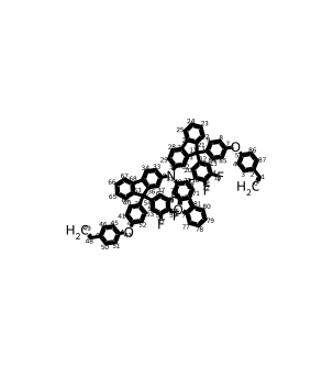 C=Cc1ccc(Oc2ccc(C3(c4cc(F)c(F)c(F)c4)c4ccccc4-c4ccc(N(c5ccc6c(c5)C(c5ccc(Oc7ccc(C=C)cc7)cc5)(c5cc(F)c(F)c(F)c5)c5ccccc5-6)c5ccc6c(c5)oc5ccccc56)cc43)cc2)cc1